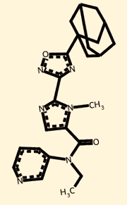 CCN(C(=O)c1cnc(-c2noc(C34CC5CC(CC(C5)C3)C4)n2)n1C)c1cccnc1